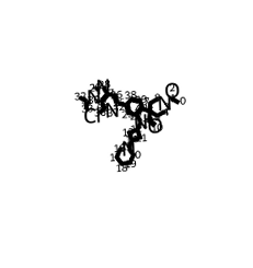 CC(=O)N1CCC2(CC1)C(=O)N(C1CC(N3CCCCC3)C1)c1cc(-c3cc4ncn(C(C)C)c4c(Cl)n3)ccc12